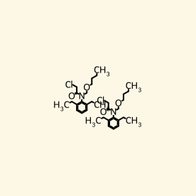 CCCCOCN(C(=O)CCl)c1c(CC)cccc1CC.CCCCOCN(C(=O)CCl)c1c(CC)cccc1CC